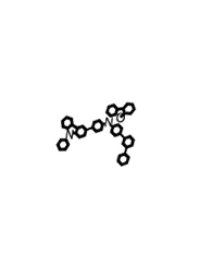 c1ccc(-c2cccc(-c3ccc(N(c4ccc(-c5ccc6c(c5)c5ccccc5n6-c5ccccc5)cc4)c4cccc5c4oc4ccccc45)cc3)c2)cc1